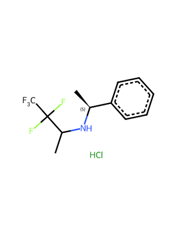 CC(N[C@@H](C)c1ccccc1)C(F)(F)C(F)(F)F.Cl